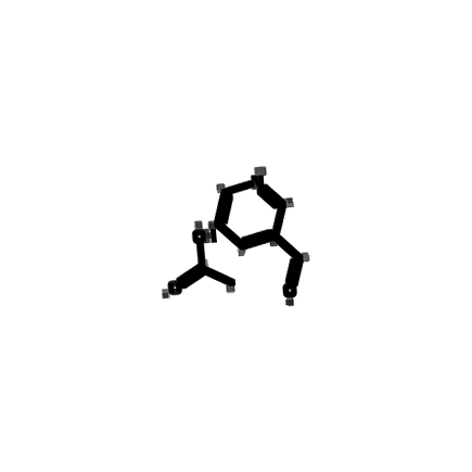 CC(=O)O.O=Cc1cccnc1